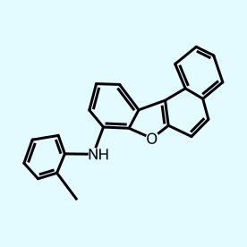 Cc1ccccc1Nc1cccc2c1oc1ccc3ccccc3c12